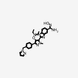 CCN(CC)Oc1c(-c2ccc(Cn3cccn3)cc2)nn(C)c1-c1nc2cc(/C(N)=N\O)ccc2[nH]1